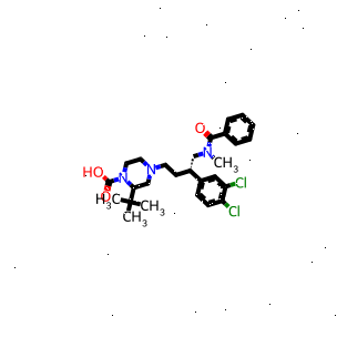 CN(C[C@@H](CCN1CCN(C(=O)O)C(C(C)(C)C)C1)c1ccc(Cl)c(Cl)c1)C(=O)c1ccccc1